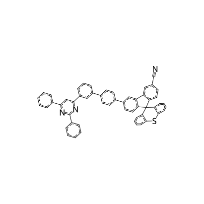 N#Cc1ccc2c(c1)-c1cc(-c3ccc(-c4cccc(-c5cc(-c6ccccc6)nc(-c6ccccc6)n5)c4)cc3)ccc1C21c2ccccc2Sc2ccccc21